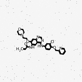 C=CC(=O)Nc1cc2c(Nc3ccc(OCc4ccccn4)c(Cl)c3)ncnc2cc1OCCN1CCOCC1